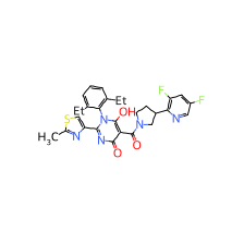 CCc1cccc(CC)c1-n1c(-c2csc(C)n2)nc(=O)c(C(=O)N2CCC(c3ncc(F)cc3F)C2)c1O